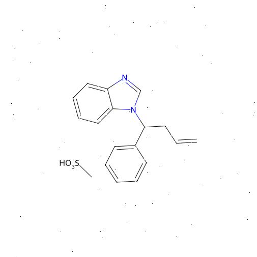 C=CCC(c1ccccc1)n1cnc2ccccc21.CS(=O)(=O)O